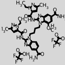 CCn1nc(C)cc1C(=O)Nc1nc2cc(C(N)=O)ccc2n1CCCCn1c(NC(=O)c2cc(C)nn2CC)nc2cc(C(N)=O)cc(OC)c21.O=C(O)C(F)(F)F.O=C(O)C(F)(F)F